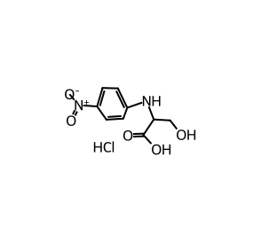 Cl.O=C(O)C(CO)Nc1ccc([N+](=O)[O-])cc1